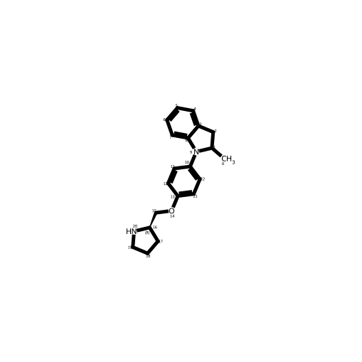 CC1Cc2ccccc2N1c1ccc(OC[C@H]2CCCN2)cc1